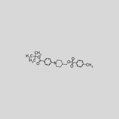 Cc1ccc(S(=O)(=O)OCC2CCN(c3ccc(C(=O)OC(C)(C)C)cc3)CC2)cc1